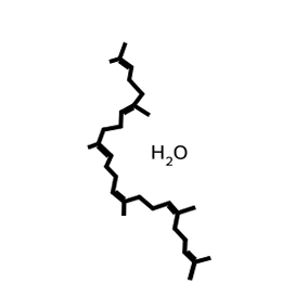 CC(C)=CCCC(C)=CCCC(C)=CCCC=C(C)CCC=C(C)CCC=C(C)C.O